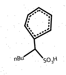 [CH2]CCCC(c1ccccc1)S(=O)(=O)O